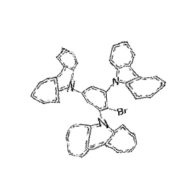 Brc1c(-n2c3ccccc3c3ccccc32)cc(-n2c3ccccc3c3ccccc32)cc1-n1c2ccccc2c2ccccc21